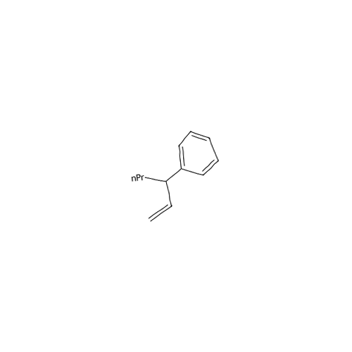 C=CC(CCC)c1ccccc1